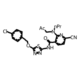 CCCN(CC(C)=O)c1nc(C#N)ccc1C(=O)Nc1nnc(OCc2ccc(Cl)cc2)s1